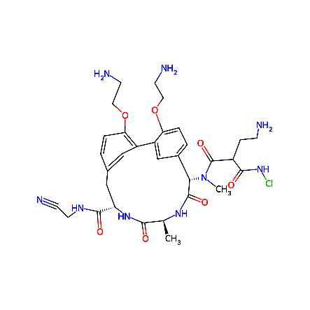 C[C@@H]1NC(=O)[C@@H](N(C)C(=O)C(CCN)C(=O)NCl)c2ccc(OCCN)c(c2)-c2cc(ccc2OCCN)C[C@@H](C(=O)NCC#N)NC1=O